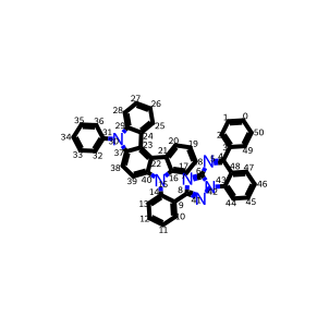 c1ccc(-c2nc3nc(-c4ccccc4-n4c5ccccc5c5c6c7ccccc7n(-c7ccccc7)c6ccc54)nn3c3ccccc23)cc1